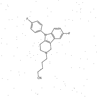 N#CCCCCN1CCc2c(c3cc(F)ccc3n2-c2ccc(F)cc2)C1